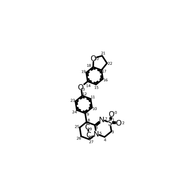 O=S1(=O)CCN2C(=N1)C1(c3ccc(Oc4ccc5c(c4)OCC5)cc3)CCC2CC1